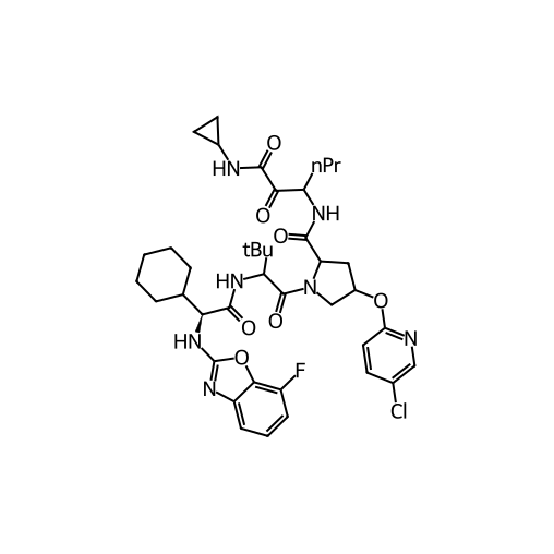 CCCC(NC(=O)C1CC(Oc2ccc(Cl)cn2)CN1C(=O)C(NC(=O)[C@@H](Nc1nc2cccc(F)c2o1)C1CCCCC1)C(C)(C)C)C(=O)C(=O)NC1CC1